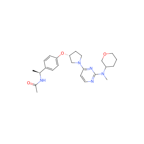 CC(=O)N[C@@H](C)c1ccc(O[C@@H]2CCN(c3ccnc(N(C)C4CCCOC4)n3)C2)cc1